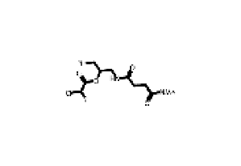 [2H]CC(CNC(=O)CCC(=O)NC)OC(=O)C(Cl)Cl